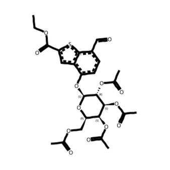 CCOC(=O)c1cc2c(O[C@@H]3O[C@H](COC(C)=O)[C@H](OC(C)=O)[C@H](OC(C)=O)[C@H]3OC(C)=O)ccc(C=O)c2s1